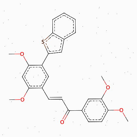 COc1cc(OC)c(-c2cc3ccccc3s2)cc1C=CC(=O)c1ccc(OC)c(OC)c1